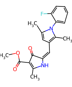 COC(=O)C1=C(C)N/C(=C/c2cc(C)n(-c3ccccc3F)c2C)C1=O